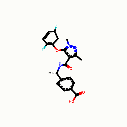 Cc1nn(C)c(OC2=C(F)C=CC(F)C2)c1C(=O)N[C@@H](C)c1ccc(C(=O)O)cc1